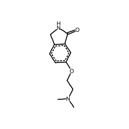 CN(C)CCOc1ccc2c(c1)C(=O)NC2